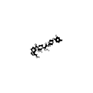 C[C@@H](C(=O)Nc1cnc(Oc2ccc(F)cc2F)cn1)N1CCN(C(=O)[C@@H]2CCn3nnc(CO)c3C2)C(C)(C)C1